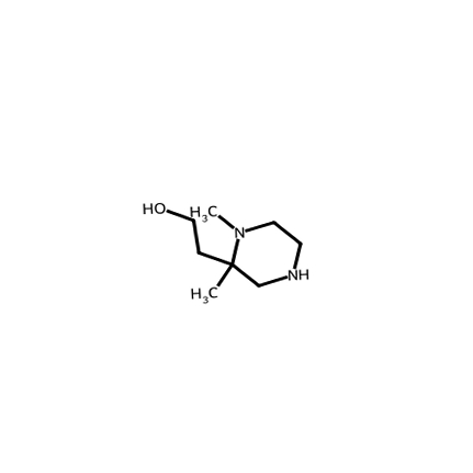 CN1CCNCC1(C)CCO